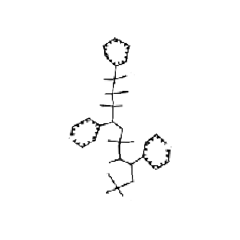 CC(C(CC(C)(C)C(C)(C)C)c1ccncc1)C(C)(C)CC(c1ccncc1)C(C)(C)C(C)(C)C(C)(c1ccccc1)C(C)(C)C